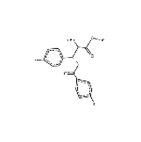 CCCCC(C(=O)OCCC)[C@H](CC(=O)c1ccc(F)cc1)c1ccc(F)cc1